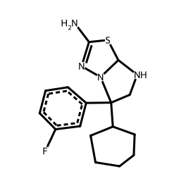 NC1=NN2C(NCC2(c2cccc(F)c2)C2CCCCC2)S1